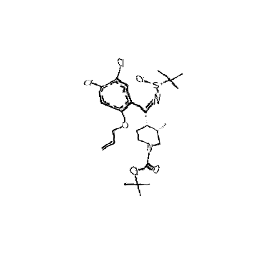 C=CCOc1cc(Cl)c(Cl)cc1C(=N[S@@+]([O-])C(C)(C)C)[C@H]1CCN(C(=O)OC(C)(C)C)C[C@H]1C